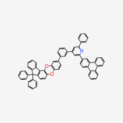 c1ccc(-c2cc(-c3cccc(-c4ccc5c(c4)Oc4c(ccc6c4-c4ccccc4C6(c4ccccc4)c4ccccc4)O5)c3)cc(-c3ccc4c5ccccc5c5ccccc5c4c3)n2)cc1